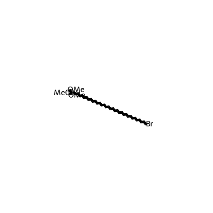 CO[Si](CCCCCCCCCCCCCCCCCCCCCCCCCCCCCCCCCCBr)(OC)OC